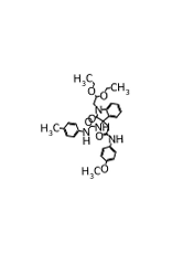 CCOC(CN1C(=O)C(CC(=O)Nc2ccc(OC)cc2)(NC(=O)Nc2ccc(C)cc2)c2ccccc21)OCC